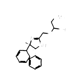 COCC(C)OCC1=N[C@@](C)(C2C=CC=CC2)[C@@H](c2ccccc2)N1